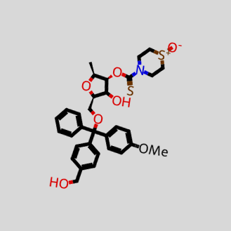 COc1ccc(C(OC[C@H]2O[C@@H](C)[C@@H](OC(=S)N3CC[S+]([O-])CC3)C2O)(c2ccccc2)c2ccc(CO)cc2)cc1